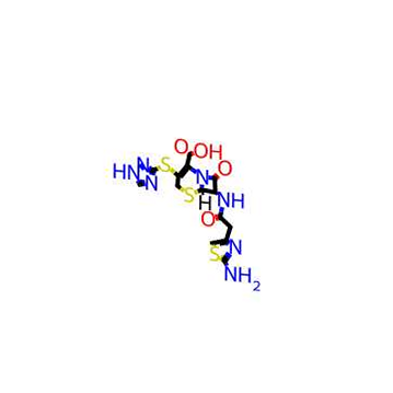 Nc1nc(CC(=O)N[C@@H]2C(=O)N3C(C(=O)O)=C(Sc4nc[nH]n4)CS[C@@H]23)cs1